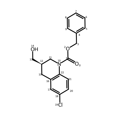 O=C(OCc1ccccc1)N1C[C@H](CO)Cc2cc(Cl)ccc21